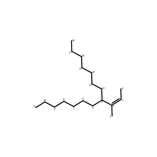 CC=C(C)C(CCCCCCC)CCCCCCC